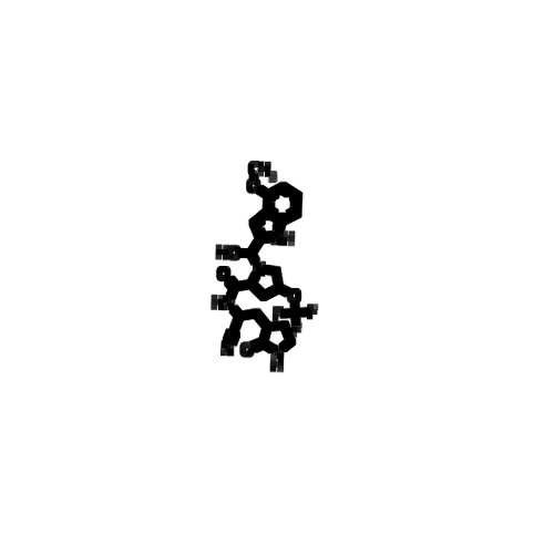 COc1cccc2[nH]c(C(O)N3CC(OC(F)(F)F)CC3C(=O)NC(C#N)CC3CCNC3=O)cc12